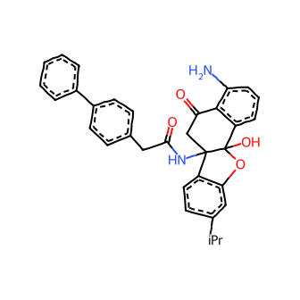 CC(C)c1ccc2c(c1)OC1(O)c3cccc(N)c3C(=O)CC21NC(=O)Cc1ccc(-c2ccccc2)cc1